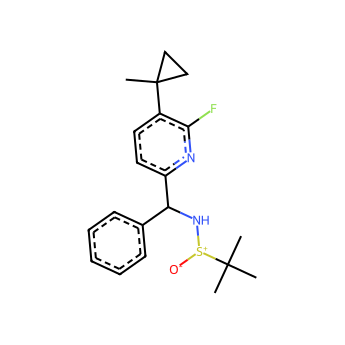 CC1(c2ccc(C(N[S+]([O-])C(C)(C)C)c3ccccc3)nc2F)CC1